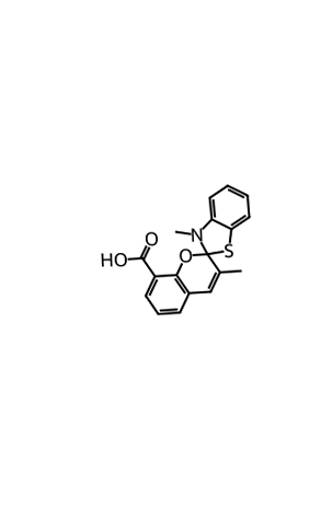 CC1=Cc2cccc(C(=O)O)c2OC12Sc1ccccc1N2C